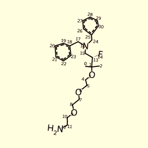 CC(C)(OCCOCCOCCN)[C@@H](F)CN(Cc1ccccc1)Cc1ccccc1